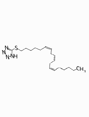 CCCCC/C=C\C/C=C\C/C=C\CCCCCSc1nnn[nH]1